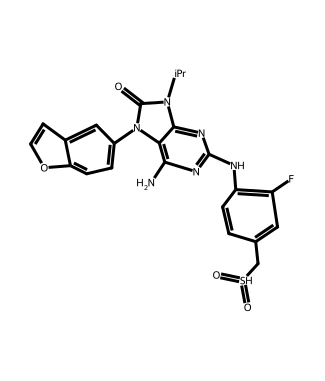 CC(C)n1c(=O)n(-c2ccc3occc3c2)c2c(N)nc(Nc3ccc(C[SH](=O)=O)cc3F)nc21